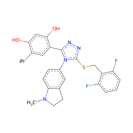 CC(C)c1cc(-c2nnc(SCc3c(F)cccc3F)n2-c2ccc3c(c2)CCN3C)c(O)cc1O